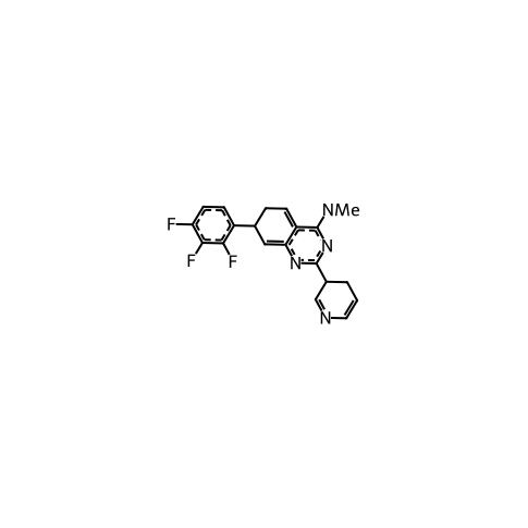 CNc1nc(C2C=NC=CC2)nc2c1=CCC(c1ccc(F)c(F)c1F)C=2